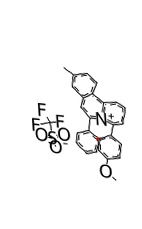 COc1ccc(-c2cccc3c4ccc(C)cc4cc(-c4ccccc4)[n+]23)cc1.O=S(=O)([O-])C(F)(F)F